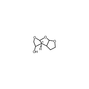 OC1COC2OC3OCCC3[C@H]12